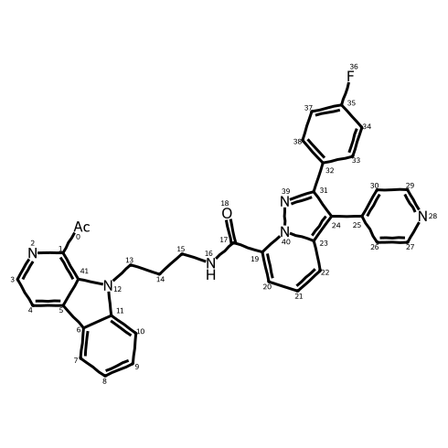 CC(=O)c1nccc2c3ccccc3n(CCCNC(=O)c3cccc4c(-c5ccncc5)c(-c5ccc(F)cc5)nn34)c12